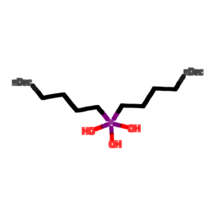 CCCCCCCCCCCCCCP(O)(O)(O)CCCCCCCCCCCCCC